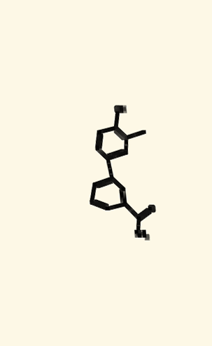 Cc1cc(-c2cccc(C(N)=O)c2)ccc1O